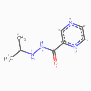 CC(C)NNC(=O)c1cnccn1